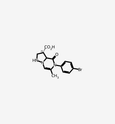 CC1=CN2NC[C@H](C(=O)O)C2C(=O)N1c1ccc(Br)cc1